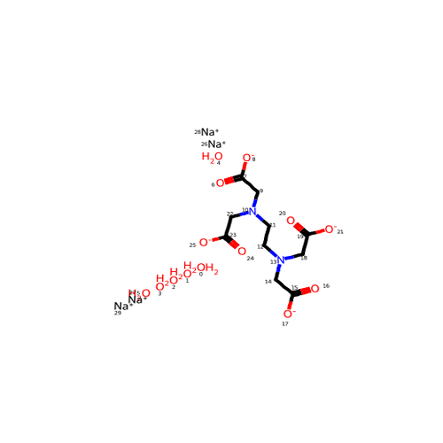 O.O.O.O.O.O.O=C([O-])CN(CCN(CC(=O)[O-])CC(=O)[O-])CC(=O)[O-].[Na+].[Na+].[Na+].[Na+]